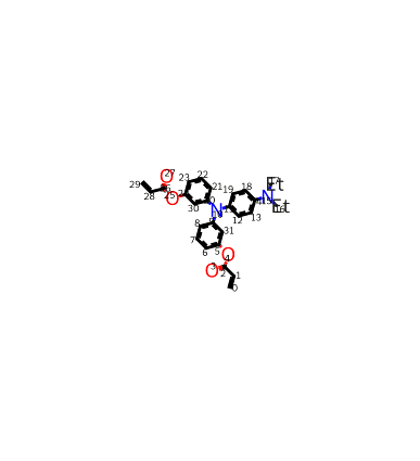 C=CC(=O)Oc1cccc(N(c2ccc(N(CC)CC)cc2)c2cccc(OC(=O)C=C)c2)c1